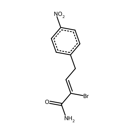 NC(=O)C(Br)=CCc1ccc([N+](=O)[O-])cc1